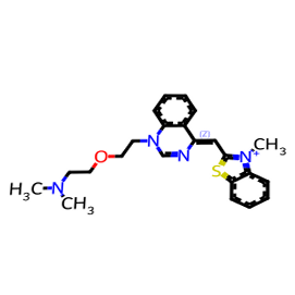 CN(C)CCOCCN1C=N/C(=C\c2sc3ccccc3[n+]2C)c2ccccc21